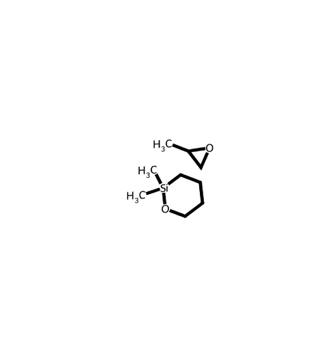 CC1CO1.C[Si]1(C)CCCCO1